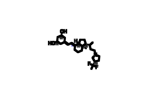 CC(CCN1CC[C@H](C(C)(F)F)C1)[C@H]1CC[C@H]2/C(=C/C=C3C[C@@H](O)C[C@H](O)C3)CCC[C@]12C